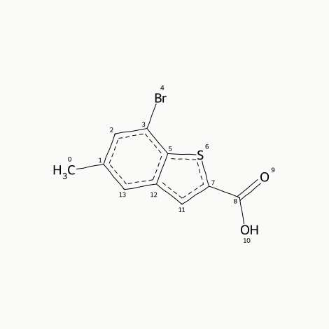 Cc1cc(Br)c2sc(C(=O)O)cc2c1